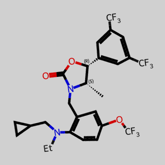 CCN(CC1CC1)c1ccc(OC(F)(F)F)cc1CN1C(=O)O[C@H](c2cc(C(F)(F)F)cc(C(F)(F)F)c2)[C@@H]1C